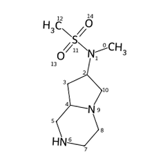 CN(C1CC2CNCCN2C1)S(C)(=O)=O